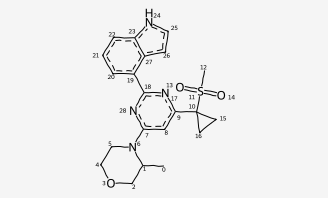 CC1COCCN1c1cc(C2(S(C)(=O)=O)CC2)nc(-c2cccc3[nH]ccc23)n1